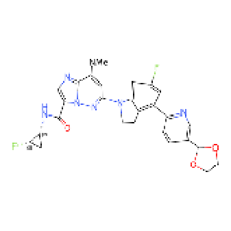 CNc1cc(N2CCc3c(-c4ccc(C5OCCO5)cn4)cc(F)cc32)nn2c(C(=O)N[C@@H]3C[C@@H]3F)cnc12